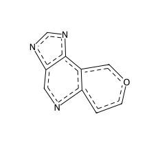 c1nc2cnc3ccocc3c2n1